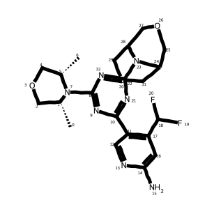 C[C@@H]1COC[C@H](C)N1c1nc(-c2cnc(N)cc2C(F)F)nc(N2C3COCC2COC3)n1